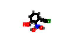 O=[N+]([O-])c1c(O)ccc[c]1[Hg][Cl]